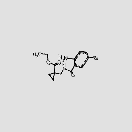 CCOC(=O)C1(CNC(=O)c2cc(Br)ccc2N)CC1